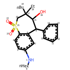 CCCCCCNc1ccc2c(c1)C(c1ccccc1)C(O)C(CC)(CCCC)CS2(=O)=O